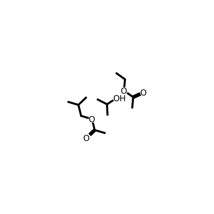 CC(=O)OCC(C)C.CC(C)O.CCOC(C)=O